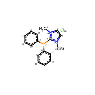 CCCC[n+]1ccn(C)c1P(c1ccccc1)c1ccccc1.[Cl-]